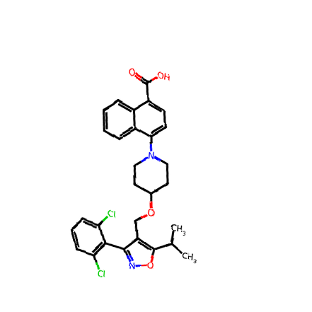 CC(C)c1onc(-c2c(Cl)cccc2Cl)c1COC1CCN(c2ccc(C(=O)O)c3ccccc23)CC1